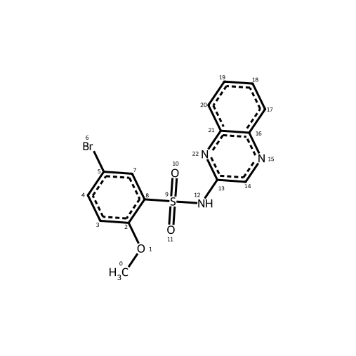 COc1ccc(Br)cc1S(=O)(=O)Nc1cnc2ccccc2n1